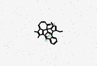 CCC1=CC(C)=C(C2(c3ccc4ccccc4c3)C(=[SiH2])C=CC=C3C(C)=C(C)[C]([Hf]([Cl])[Cl])=C32)C1C